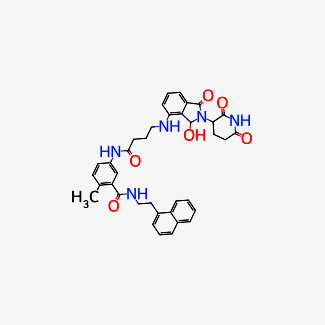 Cc1ccc(NC(=O)CCCNc2cccc3c2C(O)N(C2CCC(=O)NC2=O)C3=O)cc1C(=O)NCCc1cccc2ccccc12